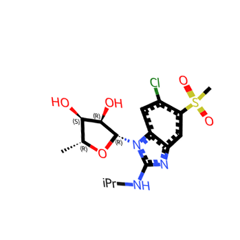 CC(C)Nc1nc2cc(S(C)(=O)=O)c(Cl)cc2n1[C@@H]1O[C@H](C)[C@@H](O)[C@H]1O